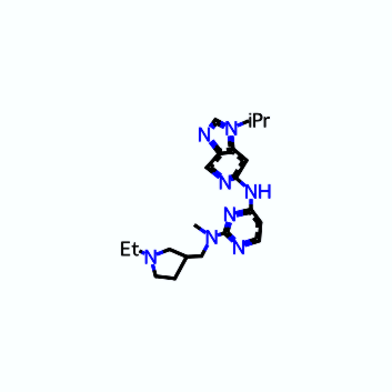 CCN1CCC(CN(C)c2nccc(Nc3cc4c(cn3)ncn4C(C)C)n2)C1